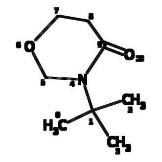 CC(C)(C)N1COCCC1=O